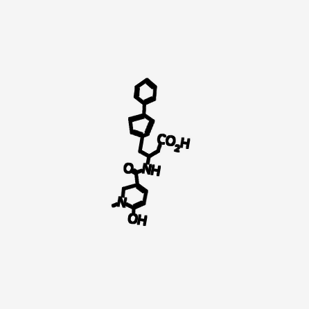 CN1CC(C(=O)NC(CC(=O)O)Cc2ccc(-c3ccccc3)cc2)=CC=C1O